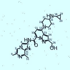 Cc1cn2cc(NC(=O)c3ccc(N4CCC(NC5CC5)CC4)c4cc(CO)nn34)nc2c(C)n1